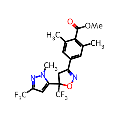 COC(=O)c1c(C)cc(C2=NOC(c3cc(C(F)(F)F)nn3C)(C(F)(F)F)C2)cc1C